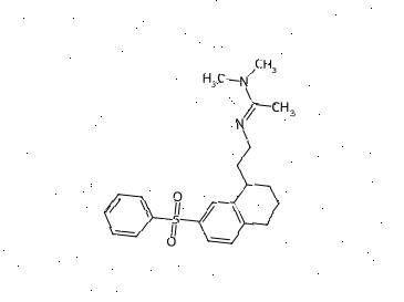 C/C(=N\CCC1CCCc2ccc(S(=O)(=O)c3ccccc3)cc21)N(C)C